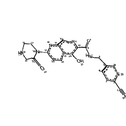 N#Cc1ccc(CNC(=O)c2ncc3nc(N4CCNCC4=O)ccc3c2O)cn1